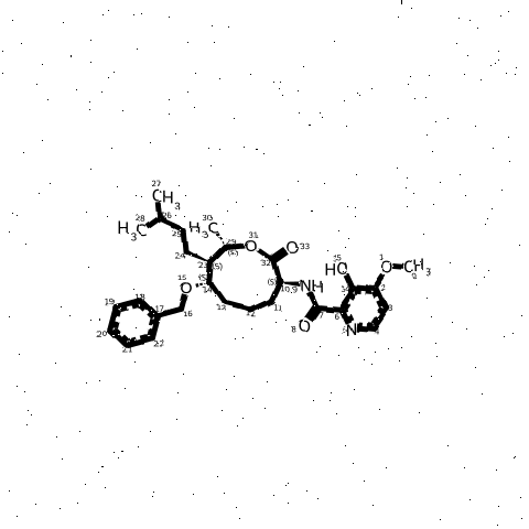 COc1ccnc(C(=O)N[C@H]2CCC[C@H](OCc3ccccc3)[C@@H](CCC(C)C)[C@H](C)OC2=O)c1O